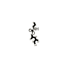 CCCNC(=O)OCC(C)CC(C)CC